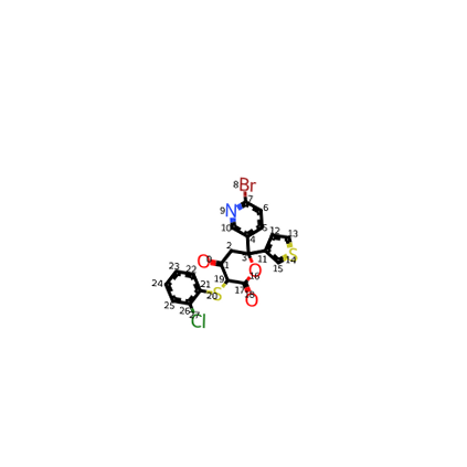 O=C1CC(c2ccc(Br)nc2)(c2ccsc2)OC(=O)C1Sc1ccccc1Cl